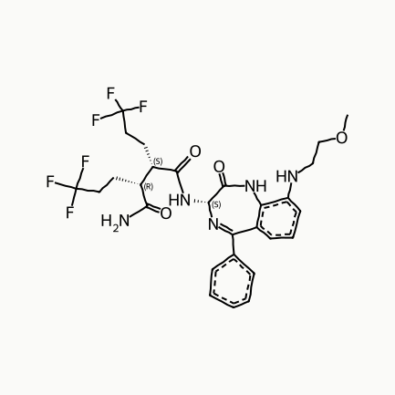 COCCNc1cccc2c1NC(=O)[C@@H](NC(=O)[C@@H](CCC(F)(F)F)[C@@H](CCC(F)(F)F)C(N)=O)N=C2c1ccccc1